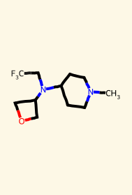 CN1CCC(N(CC(F)(F)F)C2COC2)CC1